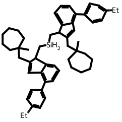 CCc1ccc(-c2cccc3c2C=C(CC2(C)CCCCCC2)C3C[SiH2]CC2C(CC3(C)CCCCCC3)=Cc3c(-c4ccc(CC)cc4)cccc32)cc1